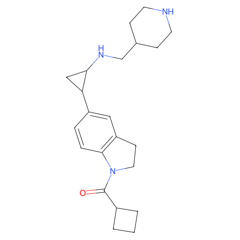 O=C(C1CCC1)N1CCc2cc(C3CC3NCC3CCNCC3)ccc21